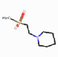 COS(=O)(=O)CCN1CCCCC1